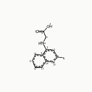 Cc1cc(NCC(=O)O)c2ccccc2n1